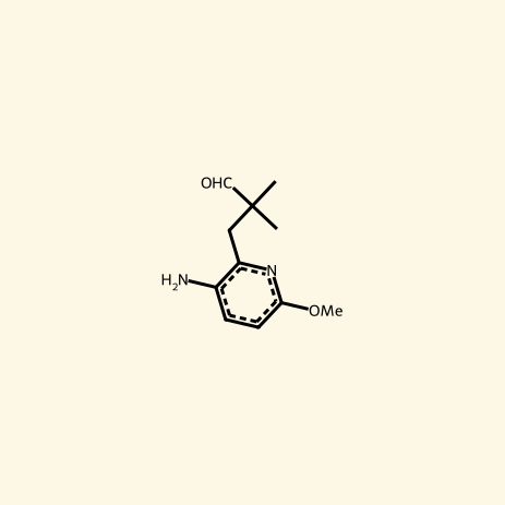 COc1ccc(N)c(CC(C)(C)C=O)n1